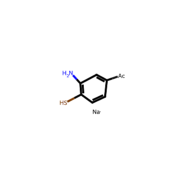 CC(=O)c1ccc(S)c(N)c1.[Na]